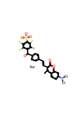 CCN(CC)c1ccc2c(C)c(/C=C/c3ccc(C(=O)c4c(F)c(F)c(S(=O)(=O)[O-])c(F)c4F)cc3)c(=O)oc2c1.[Na+]